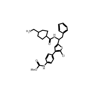 COC(=O)Nc1ccc(-c2cc(C(Cc3ccccc3)NC(=O)C3CCC(CN)CC3)sc2Cl)cc1